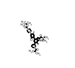 CC(C)C(=O)N1CCC=C(c2cc(-c3cc(F)c(N4CCN(C(=O)OC(C)(C)C)CC4)cc3Cl)c3cc(C(=O)N(C)C)[nH]c3c2F)C1